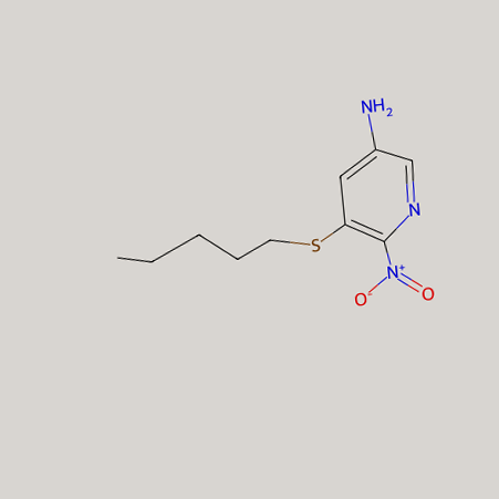 CCCCCSc1cc(N)cnc1[N+](=O)[O-]